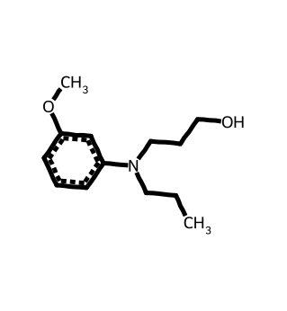 CCCN(CCCO)c1cccc(OC)c1